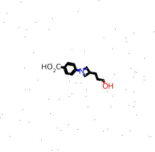 O=C(O)c1ccc(N2CC(CCCO)C2)cc1